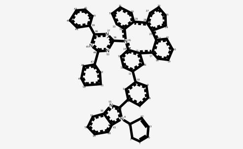 C1=CCC(n2c(-c3cccc(-c4ccc5c(c4)c4ccccc4c4ccccc4c4ccccc4n5-c4nc(-c5ccccc5)nc(-c5ccccc5)n4)c3)nc3ccccc32)C=C1